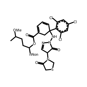 CCCCCCCCCC(CCC(C)OC)OC(=O)C1=CC=CC(NN2N=CC(N3CSCC3=O)C2=O)(c2c(Cl)cc(Cl)cc2Cl)C1